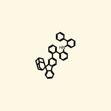 c1ccc(-c2ccccc2Nc2ccccc2-c2ccccc2-c2ccc3c(c2)C2(c4ccccc4-3)C3CC4CC(C3)CC2C4)cc1